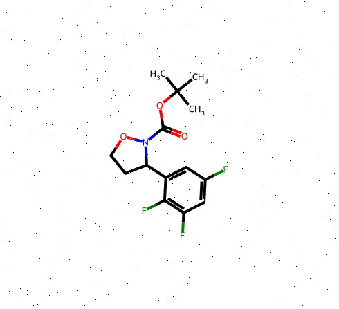 CC(C)(C)OC(=O)N1OCCC1c1cc(F)cc(F)c1F